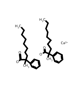 CCCCCCCCC(C)(C(=O)[O-])c1ccccc1.CCCCCCCCC(C)(C(=O)[O-])c1ccccc1.[Ca+2]